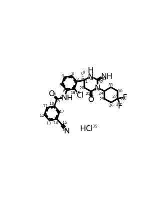 C[C@@]1(c2cccc(NC(=O)c3cccc(C#N)c3)c2Cl)CC(=O)N(C2CCC(F)(F)CC2)C(=N)N1.Cl